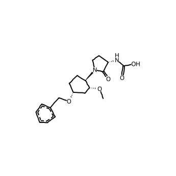 CO[C@@H]1C[C@H](OCc2ccccc2)CC[C@H]1N1CC[C@H](NC(=O)O)C1=O